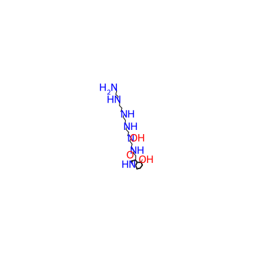 NCCCNCCCCNCCCNCCCN(O)CCCNC(=O)Cc1c[nH]c2cccc(O)c12